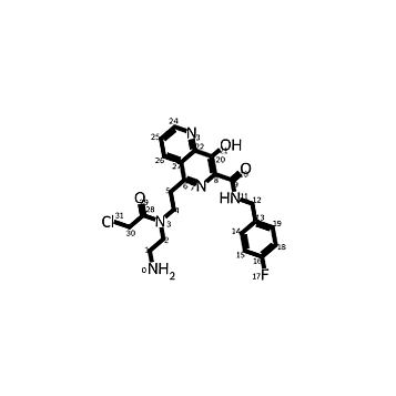 NCCN(CCc1nc(C(=O)NCc2ccc(F)cc2)c(O)c2ncccc12)C(=O)CCl